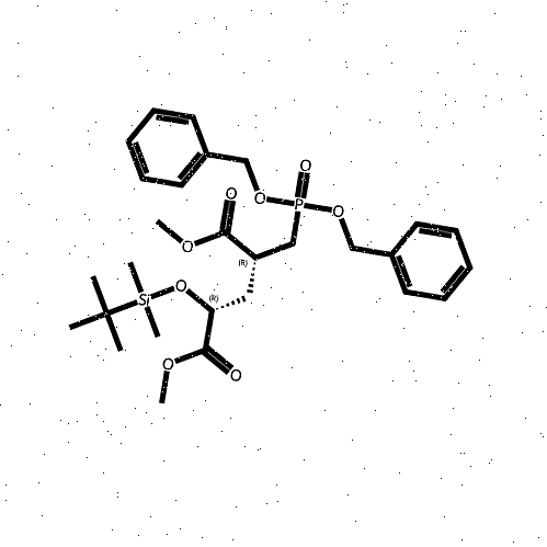 COC(=O)[C@@H](C[C@@H](O[Si](C)(C)C(C)(C)C)C(=O)OC)CP(=O)(OCc1ccccc1)OCc1ccccc1